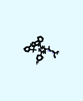 C=C/C(F)=C\C=C(/C)c1nc(-c2ccc(F)cc2)nc(-n2c3ccccc3c3cn4c(c32)C(C)(C)c2ccccc2-4)n1